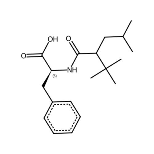 CC(C)CC(C(=O)N[C@@H](Cc1ccccc1)C(=O)O)C(C)(C)C